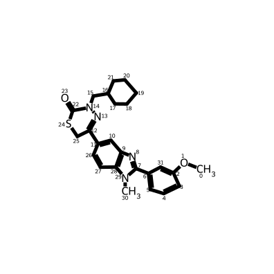 COc1cccc(-c2nc3cc(C4=NN(CC5CCCCC5)C(=O)SC4)ccc3n2C)c1